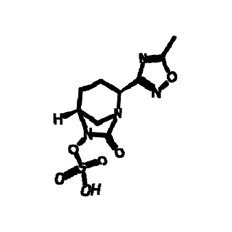 Cc1nc([C@@H]2CC[C@@H]3CN2C(=O)N3OS(=O)(=O)O)no1